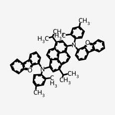 Cc1ccc(N(c2cc(C(C)C)c3ccc4c(N(c5ccc(C)cc5C)c5cccc6c5oc5ccccc56)cc(C(C)C)c5ccc2c3c54)c2cccc3c2oc2ccccc23)c(C)c1